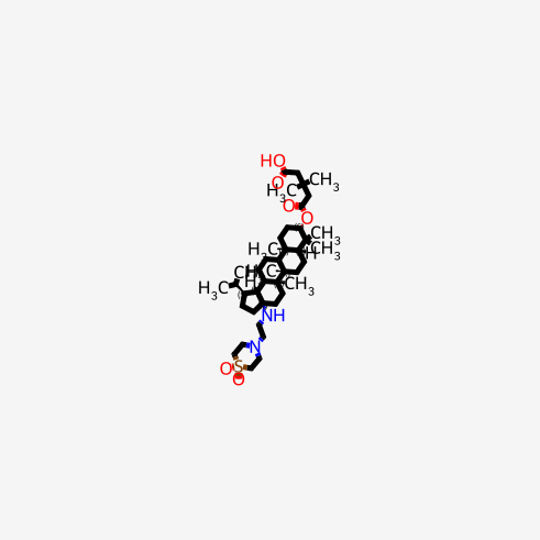 CC(C)[C@@H]1CC[C@@]2(NCCN3CCS(=O)(=O)CC3)CC[C@]3(C)C(CCC4[C@@]5(C)CC[C@H](OC(=O)CC(C)(C)CC(=O)O)C(C)(C)[C@@H]5CC[C@]43C)[C@@H]12